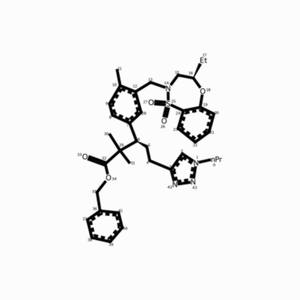 CCCn1cc(CC[C@H](c2ccc(C)c(CN3C[C@@H](CC)Oc4ccccc4S3(=O)=O)c2)C(C)(C)C(=O)OCc2ccccc2)nn1